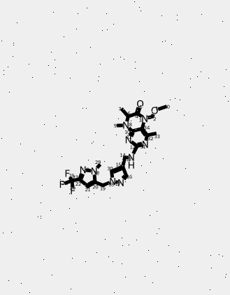 COCN1C(=O)C(C)N(C)c2nc(NCc3cnn(Cc4cc(C(F)(F)F)nn4C)c3)nc(C)c21